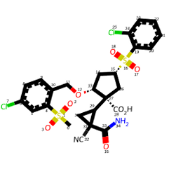 CS(=O)(=O)c1cc(Cl)ccc1CO[C@@H]1C[C@H](S(=O)(=O)c2ccccc2Cl)C[C@@]1(C(=O)O)C1CC1(C#N)C(N)=O